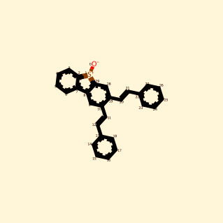 [O-][s+]1c2ccccc2c2cc(C=Cc3ccccc3)c(C=Cc3ccccc3)cc21